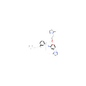 COc1cccc(NCc2cc(N3CCCC3=O)ccc2OCCCN2CCCC2C)c1